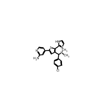 CN(C)C(c1ccc(Cl)cc1)c1cc(-c2ccnc(N)c2)sc1-c1ncc[nH]1